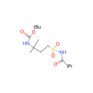 CC(C)C(=O)NS(=O)(=O)CCC(C)(C)NC(=O)OC(C)(C)C